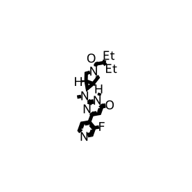 CCC(CC)C(=O)N1C[C@@H]2[C@H](C1)[C@@H]2N(C)c1nc(-c2ccncc2F)cc(=O)n1C